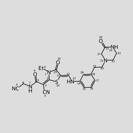 CCn1c(=C(C#N)C(=O)NCC#N)sc(=CNc2cccc(CCN3CCNC(=O)C3)c2)c1=O